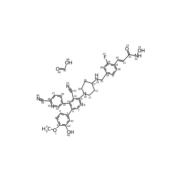 COc1ccc(-c2cnc(N3CCC(NCc4ccc(/C=C/C(=O)NO)c(F)c4)CC3)c(C#N)c2-c2ccc(C#N)nc2)cc1O.O=CO